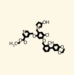 CCOC(=O)c1cncc(COc2cc(OCc3cccc(-c4ccc5c(c4)OCCO5)c3C)c(Cl)cc2CN2CC[C@H](O)C2)c1